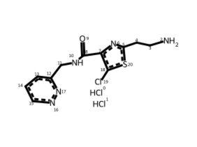 Cl.Cl.NCCc1nc(C(=O)NCc2cccnn2)c(Cl)s1